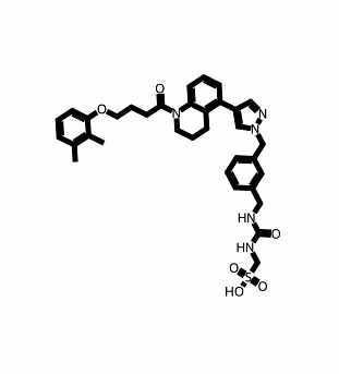 Cc1cccc(OCCCC(=O)N2CCCc3c(-c4cnn(Cc5cccc(CNC(=O)NCS(=O)(=O)O)c5)c4)cccc32)c1C